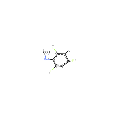 Cc1c(F)cc(F)c(NC(=O)O)c1F